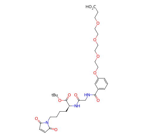 CC(C)(C)OC(=O)[C@H](CCCCN1C(=O)C=CC1=O)NC(=O)CNC(=O)c1cccc(OCCOCCOCCOCCC(=O)O)c1